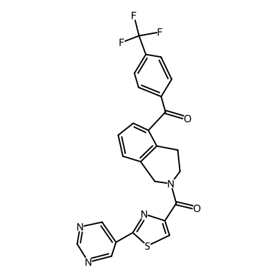 O=C(c1ccc(C(F)(F)F)cc1)c1cccc2c1CCN(C(=O)c1csc(-c3cncnc3)n1)C2